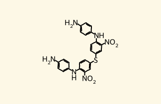 Nc1ccc(Nc2ccc(Sc3ccc(Nc4ccc(N)cc4)c([N+](=O)[O-])c3)cc2[N+](=O)[O-])cc1